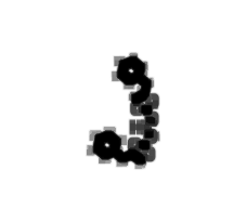 B(OC1OC=C(Cc2ccccc2)O1)OC1OC=C(Cc2ccccc2)O1